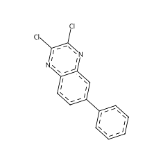 Clc1nc2ccc(-c3ccccc3)cc2nc1Cl